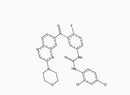 O=C(Nc1ccc(F)c(C(=O)c2ccc3ncc(N4CCOCC4)nc3c2)c1)Nc1ccc(Cl)cc1Cl